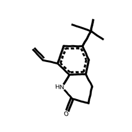 C=Cc1cc(C(C)(C)C)cc2c1NC(=O)CC2